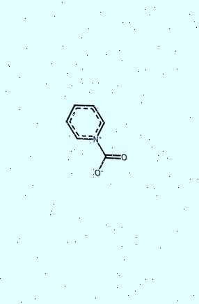 O=C([O-])[n+]1ccccc1